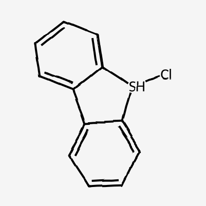 Cl[SH]1c2ccccc2-c2ccccc21